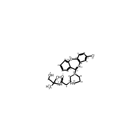 CC(C)(CO)NC(=O)C[C@H]1CN(C2=Nc3cc(Cl)ccc3Oc3ccccc32)CCN1